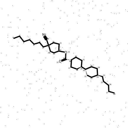 CCCCCCCC1(C#N)CCC(OC(=O)[C@H]2CC[C@H]([C@H]3CC[C@H](CCCCC)CC3)CC2)CC1